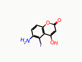 Nc1ccc2oc(=O)cc(O)c2c1I